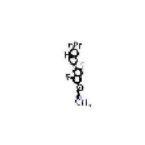 C/C=C/COc1cc(F)c2cc([C@@H]3CC[C@@H]4CC(CCC)CCC4C3)c(F)cc2c1